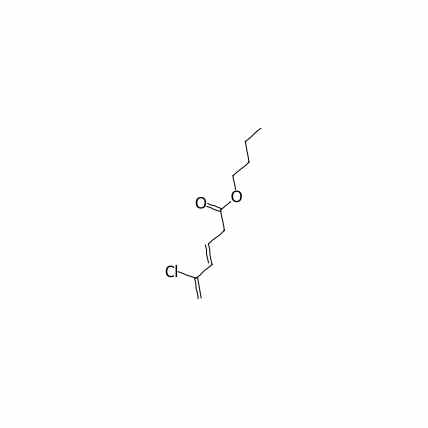 C=C(Cl)C=CCC(=O)OCCCC